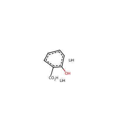 O=C(O)c1ccccc1O.[LiH].[LiH]